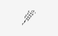 FC#CC(F)(F)C(F)(F)C(F)(F)C(F)(F)C(F)(F)F